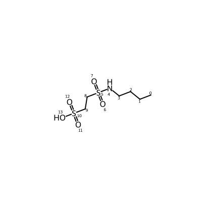 CCCCNS(=O)(=O)CCS(=O)(=O)O